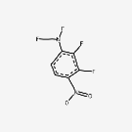 O=[N+]([O-])c1ccc(N(F)F)c(F)c1F